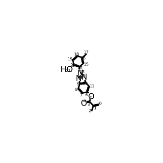 C=C(C)C(=O)Oc1ccc2c(c1)n1n(-c3cc(C)ccc3O)n21